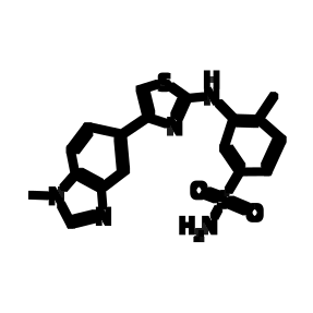 Cc1ccc(S(N)(=O)=O)cc1Nc1nc(-c2ccc3c(c2)ncn3C)cs1